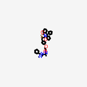 C/C(=N/OCCOc1ccc(CC2SC(=O)N(C(c3ccccc3)(c3ccccc3)c3ccccc3)C2=O)cc1)c1cn(C)c(-c2ccccc2)n1